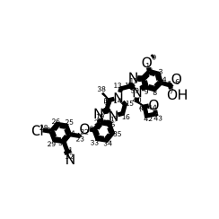 COc1cc(C(=O)O)cc2c1nc(CN1CCn3c(nc4c(OCc5ccc(Cl)cc5C#N)cccc43)[C@H]1C)n2C[C@@H]1CCO1